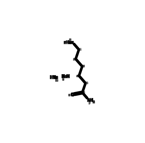 CCCCCCCCCCCC(N)=O.[NaH].[NaH]